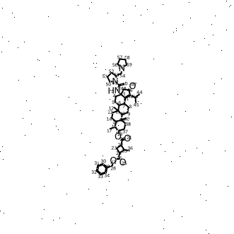 C=C(NC12CCC3C(CCC4C3(C)CCC3C(C)C(OC(=O)C5CC(C(=O)OCc6ccccc6)C5C)CCC34C)C1=C(C(C)C)C(=O)C2)N1CCCC1CN1CCCC1